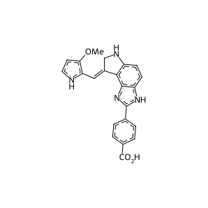 COc1cc[nH]c1C=C1CNc2ccc3[nH]c(-c4ccc(C(=O)O)cc4)nc3c21